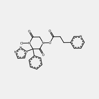 O=C(CCc1cccnc1)ON1CC(=O)N(Cl)C(c2ccccc2)(n2ccnn2)C1=O